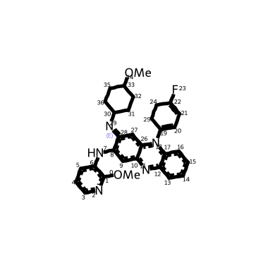 COc1ncccc1Nc1cc2nc3ccccc3n(C3=CC=C(F)CC3)c-2c/c1=N\C1CCC(OC)CC1